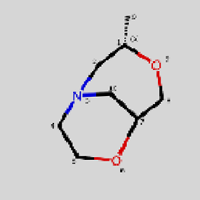 C[C@H]1CN2CCOC(CO1)C2